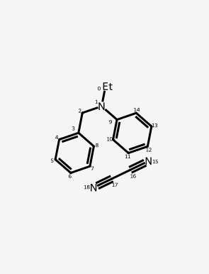 CCN(Cc1ccccc1)c1ccccc1.N#CC#N